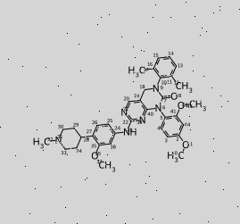 COc1ccc(N2C(=O)N(c3c(C)cccc3C)Cc3cnc(Nc4ccc(C5CCN(C)CC5)c(OC)c4)nc32)c(OC)c1